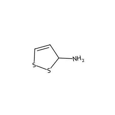 NC1C=CSS1